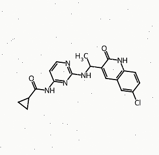 CC(Nc1nccc(NC(=O)C2CC2)n1)c1cc2cc(Cl)ccc2[nH]c1=O